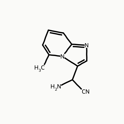 Cc1cccc2ncc(C(N)C#N)n12